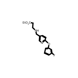 CCOC(=O)CCNCc1ccc(Oc2cccc(F)c2)nc1